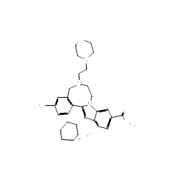 O=C(O)c1ccc2c([C@@H]3CCCC[C@H]3F)c3n(c2c1)CCN(CCN1CCOCC1)Cc1cc(Cl)ccc1-3